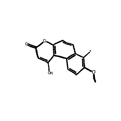 COc1ccc2c(ccc3oc(=O)cc(O)c32)c1F